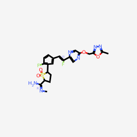 C/N=C(/N)C1CCC(c2cc(/C=C(\F)c3cnc(OCc4nnc(C)o4)cn3)ccc2F)S1(=O)=O